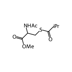 COC(=O)C(CSC(=O)C(C)C)NC(C)=O